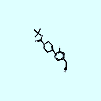 CC(C)(C)OC(=O)N1CC=C(c2ncc(CC#N)cc2I)CC1